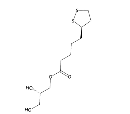 O=C(CCCC[C@@H]1CCSS1)OC[C@@H](O)CO